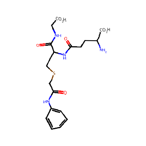 NC(CCC(=O)NC(CSCC(=O)Nc1ccccc1)C(=O)NCC(=O)O)C(=O)O